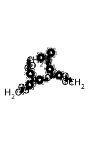 C=CC(=O)Oc1ccc(N(COCc2ccc(N(c3ccc(OC(=O)C=C)cc3)c3ccc(OC(=O)C=C)cc3)cc2)c2ccc(C=NN(c3ccccc3)c3ccccc3)cc2)cc1